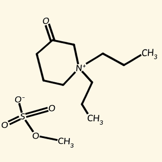 CCC[N+]1(CCC)CCCC(=O)C1.COS(=O)(=O)[O-]